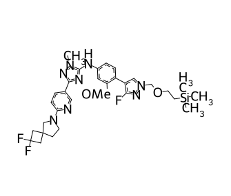 COc1cc(Nc2nc(-c3ccc(N4CCC5(C4)CC(F)(F)C5)nc3)nn2C)ccc1-c1cn(COCC[Si](C)(C)C)nc1F